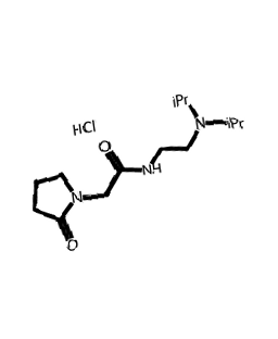 CC(C)N(CCNC(=O)CN1CCCC1=O)C(C)C.Cl